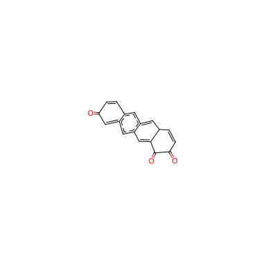 O=C1C=Cc2cc3c(cc2=C1)C=C1C(=O)C(=O)C=CC1C=3